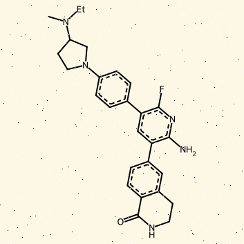 CCN(C)C1CCN(c2ccc(-c3cc(-c4ccc5c(c4)CCNC5=O)c(N)nc3F)cc2)C1